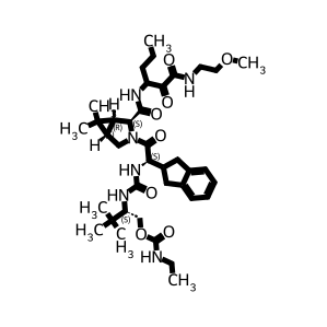 CCCC(NC(=O)[C@@H]1[C@@H]2[C@H](CN1C(=O)[C@@H](NC(=O)N[C@H](COC(=O)NCC)C(C)(C)C)C1Cc3ccccc3C1)C2(C)C)C(=O)C(=O)NCCOC